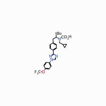 CC(C)(C)C(Cc1ccc(-c2ncn(-c3ccc(OC(F)(F)F)cc3)n2)cc1)N(CC1CC1)C(=O)O